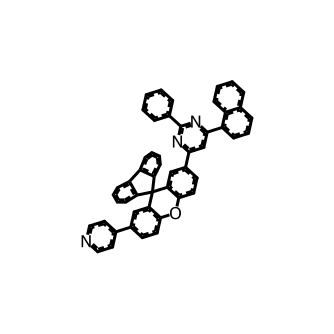 c1ccc(-c2nc(-c3ccc4c(c3)C3(c5cc(-c6ccncc6)ccc5O4)c4ccccc4-c4ccccc43)cc(-c3cccc4ccccc34)n2)cc1